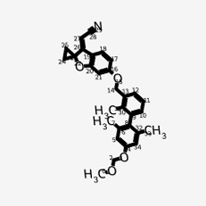 COCOc1cc(C)c(-c2cccc(COc3ccc4c(c3)OC3(CC3)C4=CC#N)c2C)c(C)c1